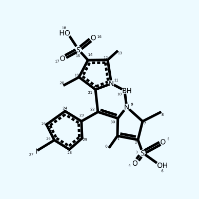 CC1=C(S(=O)(=O)O)C(C)N2Bn3c(C)c(S(=O)(=O)O)c(C)c3C(c3ccc(I)cc3)=C12